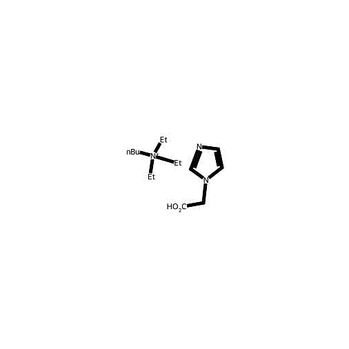 CCCC[N+](CC)(CC)CC.O=C(O)Cn1ccnc1